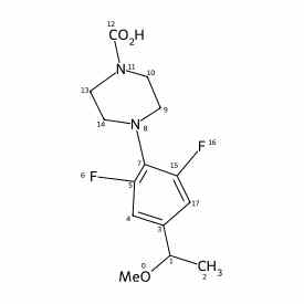 COC(C)c1cc(F)c(N2CCN(C(=O)O)CC2)c(F)c1